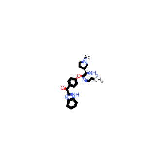 C=C/C=N\C(Oc1ccc(C(=O)c2nc3ccccc3[nH]2)cc1)=C(/N)[C@H]1CCN(C(C)=O)C1